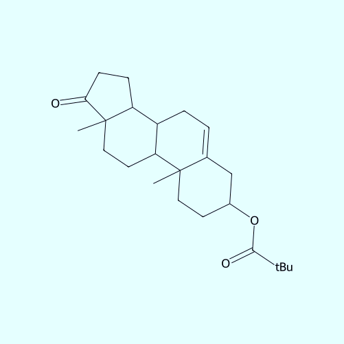 CC(C)(C)C(=O)OC1CCC2(C)C(=CCC3C4CCC(=O)C4(C)CCC32)C1